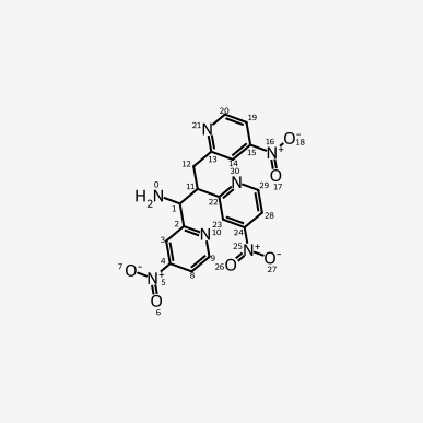 NC(c1cc([N+](=O)[O-])ccn1)C(Cc1cc([N+](=O)[O-])ccn1)c1cc([N+](=O)[O-])ccn1